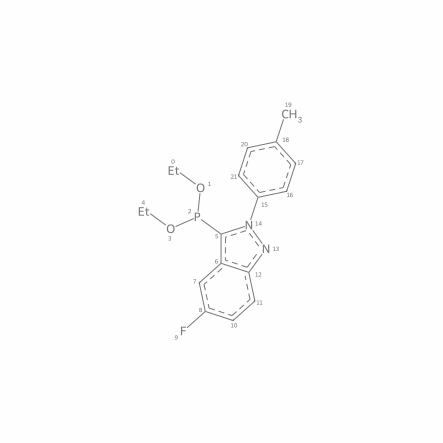 CCOP(OCC)c1c2cc(F)ccc2nn1-c1ccc(C)cc1